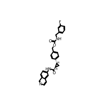 O=C(NCc1cccc(F)c1)OCc1ccc([C@@H]2C[C@H]2C(=O)Nc2ccc3cnccc3c2)cc1